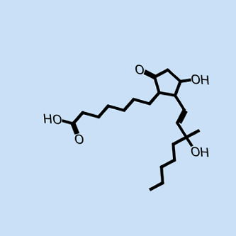 CCCCCC(C)(O)C=CC1C(O)CC(=O)C1CCCCCCC(=O)O